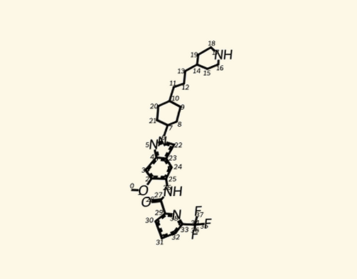 COc1cc2nn(C3CCC(CCCC4CCNCC4)CC3)cc2cc1NC(=O)c1cccc(C(F)(F)F)n1